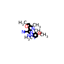 COc1ccc(C)c(-n2c(N)c(C#N)c3c4oc(C)cc4c(C)nc32)c1C